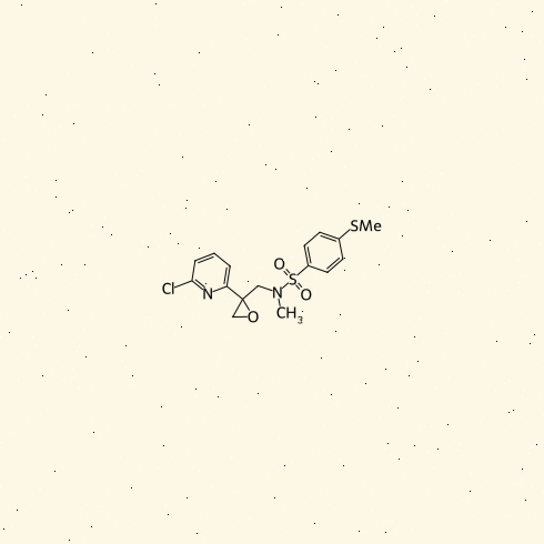 CSc1ccc(S(=O)(=O)N(C)CC2(c3cccc(Cl)n3)CO2)cc1